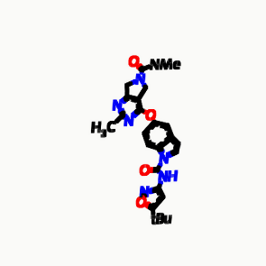 CNC(=O)N1Cc2nc(C)nc(Oc3ccc4c(ccn4C(=O)Nc4cc(C(C)(C)C)on4)c3)c2C1